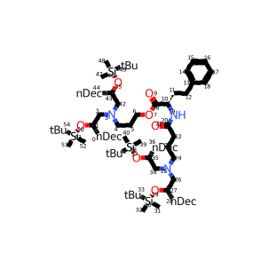 CCCCCCCCCCC(CN(CCCOC(=O)[C@H](CCc1ccccc1)NC(=O)CCCN(CC(CCCCCCCCCC)O[Si](C)(C)C(C)(C)C)CC(CCCCCCCCCC)O[Si](C)(C)C(C)(C)C)CC(CCCCCCCCCC)O[Si](C)(C)C(C)(C)C)O[Si](C)(C)C(C)(C)C